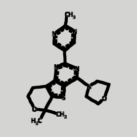 Cc1ncc(-c2nc(N3CCOCC3)c3sc4c(c3n2)CCOC4(C)C)cn1